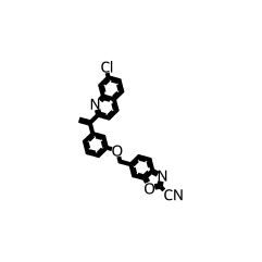 C=C(c1cccc(OCc2ccc3nc(C#N)oc3c2)c1)c1ccc2ccc(Cl)cc2n1